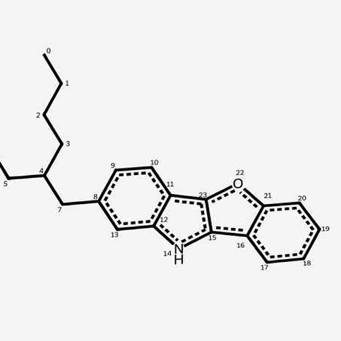 CCCCC(CC)Cc1ccc2c(c1)[nH]c1c3ccccc3oc21